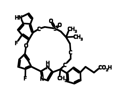 CC1(C)CCCCC(C)(c2cccc(CCC(=O)O)c2)c2cnc([nH]2)-c2cc(ccc2F)Oc2c(F)cc3[nH]ccc3c2CCS(=O)(=O)C1